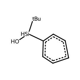 CC(C)(C)[SiH](O)c1ccccc1